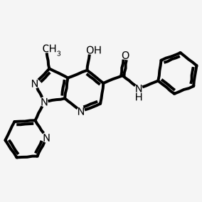 Cc1nn(-c2ccccn2)c2ncc(C(=O)Nc3ccccc3)c(O)c12